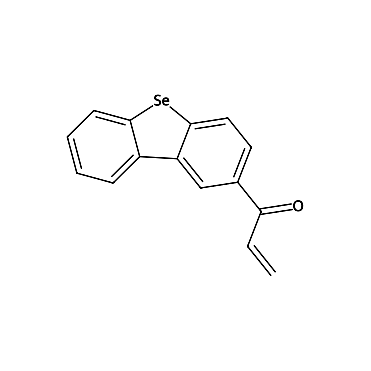 C=CC(=O)c1ccc2[se]c3ccccc3c2c1